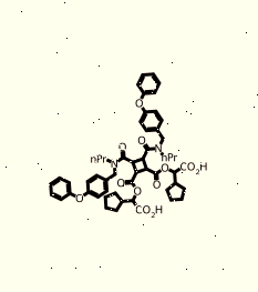 CCCN(Cc1ccc(Oc2ccccc2)cc1)C(=O)C1C(C(=O)OC(C(=O)O)C2CCCC2)C(C(=O)OC(C(=O)O)C2CCCC2)C1C(=O)N(CCC)Cc1ccc(Oc2ccccc2)cc1